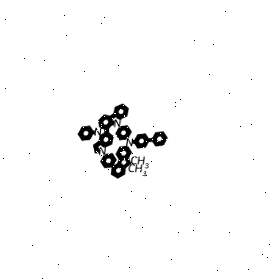 CC1(C)c2ccccc2-c2ccc(N(c3ccc(-c4ccccc4)cc3)c3ccc(-n4c5ccccc5c5ccc6c(c7ccc8c(ccn8-c8ccccc8)c7n6-c6ccccc6)c54)cc3)cc21